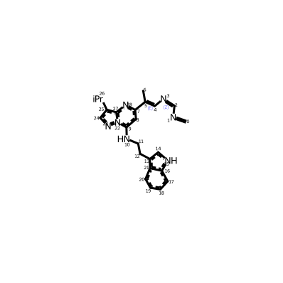 C=N/C=N\C=C(/C)c1cc(NCCc2c[nH]c3ccccc23)n2ncc(C(C)C)c2n1